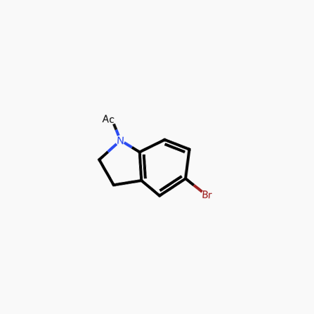 CC(=O)N1CCc2cc(Br)ccc21